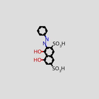 O=S(=O)(O)c1cc(O)c2c(O)c(/N=N/c3ccccc3)c(S(=O)(=O)O)cc2c1